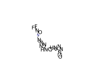 O=C(/C=C/CN1CCN(c2ncc(Nc3ccc(-c4cc5c(N6CCOCC6)ncnc5[nH]4)cc3)cn2)CC1)N1CC(F)(F)C1